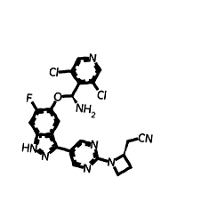 N#CC[C@H]1CCN1c1ncc(-c2n[nH]c3cc(F)c(O[C@H](N)c4c(Cl)cncc4Cl)cc23)cn1